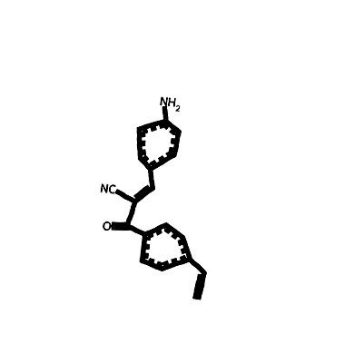 C=Cc1ccc(C(=O)C(C#N)=Cc2ccc(N)cc2)cc1